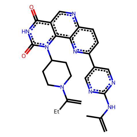 C=C(C)Nc1ncc(-c2ccc3ncc4c(=O)[nH]c(=O)n(C5CCN(C(=C)CC)CC5)c4c3n2)cn1